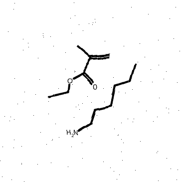 C=C(C)C(=O)OCC.CCCCCCN